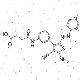 N#Cc1c(N)sc(N=Nc2ccncc2)c1-c1cccc(NC(=O)CCC(=O)O)c1